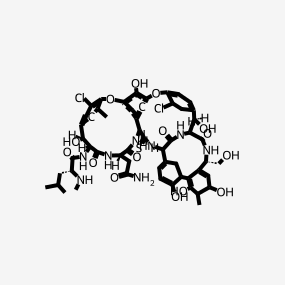 CN[C@H](CC(C)C)C(=O)N[C@H]1C(=O)N[C@@H](CC(N)=O)C(=O)N[C@H]2C(=S)N[C@H]3C(=O)N[C@H](C(=O)N[C@H](CO)C4=CC(O)C(C)C(O)=C4C4CC3=CC=C4O)[C@H](O)C3=CC=C(Oc4cc2cc(c4O)OC2=C(Cl)C=C(CC2C)[C@H]1O)C(Cl)C3